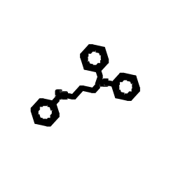 c1ccc([Se]CCC[As](c2ccccc2)c2ccccc2)cc1